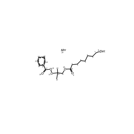 CCCCCCCCCCCCCCCCCC(=O)OCC(C)(C)OOC(=O)c1ccccc1.[Mn]